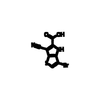 N#Cc1c(C(=O)O)[nH]c2c(Br)csc12